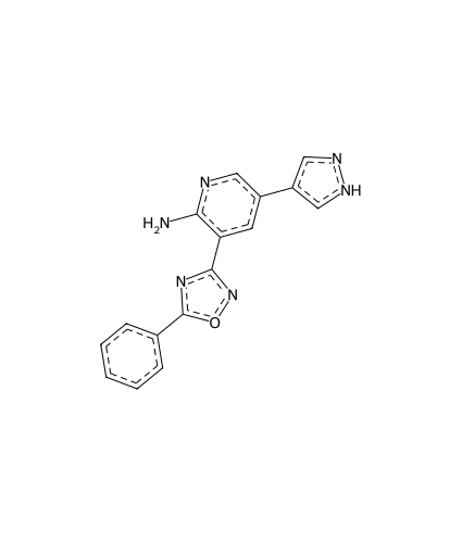 Nc1ncc(-c2cn[nH]c2)cc1-c1noc(-c2ccccc2)n1